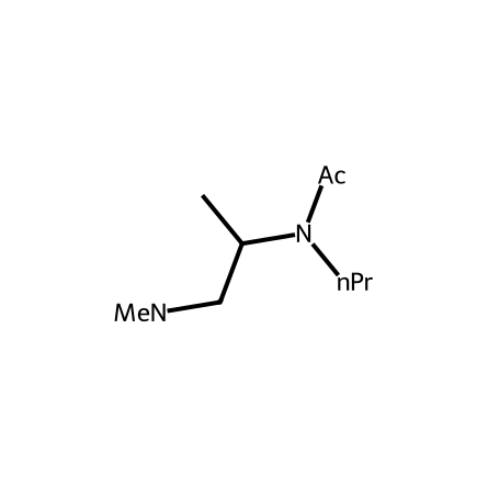 CCCN(C(C)=O)C(C)CNC